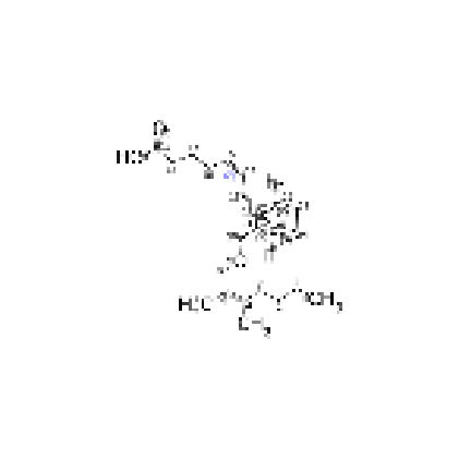 CCCCC(C)=C(C)COC[C@H]1[C@@H](C/C=C\CCCC(=O)O)[C@H]2CC[C@@H]1S2